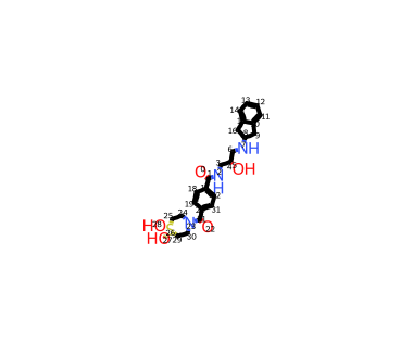 O=C(NCC(O)CNC1Cc2ccccc2C1)c1ccc(C(=O)N2CCS(O)(O)CC2)cc1